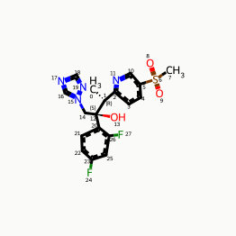 C[C@H](c1ccc(S(C)(=O)=O)cn1)[C@@](O)(Cn1cncn1)c1ccc(F)cc1F